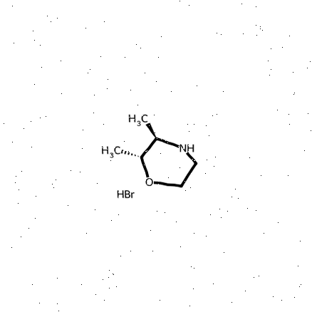 Br.C[C@H]1NCCO[C@@H]1C